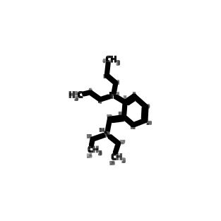 CC[CH2][In]([CH2]CC)[C]1=CC=CCC1=CN(CC)CC